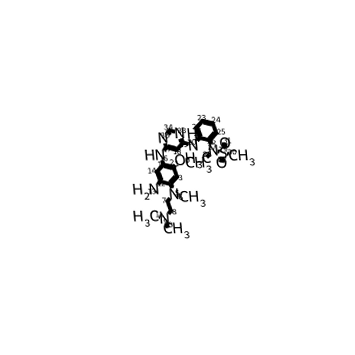 COc1cc(N(C)CCN(C)C)c(N)cc1Nc1cc(Nc2ccccc2N(C)S(C)(=O)=O)ncn1